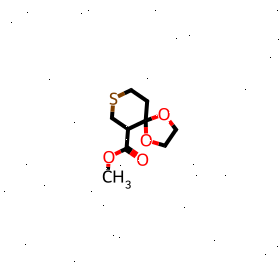 COC(=O)C1CSCCC12OCCO2